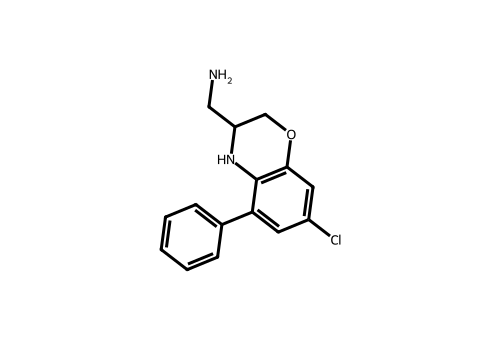 NCC1COc2cc(Cl)cc(-c3ccccc3)c2N1